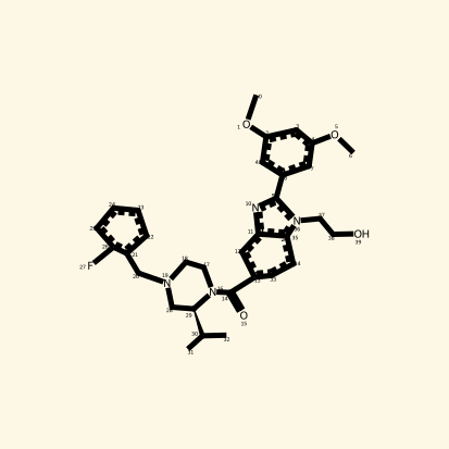 COc1cc(OC)cc(-c2nc3cc(C(=O)N4CCN(Cc5ccccc5F)C[C@@H]4C(C)C)ccc3n2CCO)c1